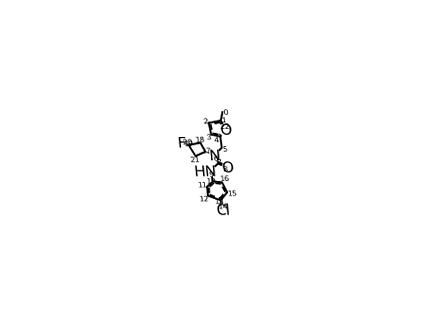 Cc1ccc(CN(C(=O)Nc2ccc(Cl)cc2)[C@H]2C[C@@H](F)C2)o1